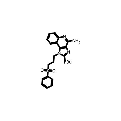 CCCCc1nc2c(N)nc3ccccc3c2n1CCCS(=O)(=O)c1ccccc1